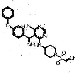 C=CS(=O)(=O)N1CCC(Nc2ncnc(N)c2C(=N)c2ccc(Oc3ccccc3)cc2)CC1